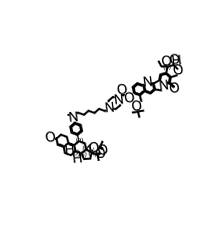 CC[C@@]1(O)C(=O)OCc2c1cc1n(c2=O)Cc2cc3c(COC(C)(C)C)c(OC(=O)N4CCN(CCCCCCN(C)c5ccc([C@H]6C[C@@]7(C)[C@@H](CC[C@]7(OC(C)=O)C(C)=O)[C@@H]7CCC8=CC(=O)CCC8=C76)cc5)CC4)ccc3nc2-1